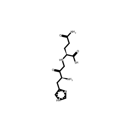 NC(=O)CC[C@H](NCC(=O)[C@@H](N)Cc1c[nH]cn1)C(=O)S